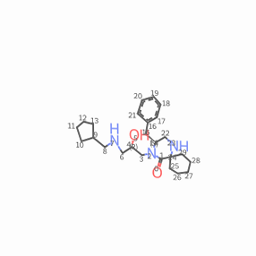 O=C1N(C[C@H](O)CNCC2CCCC2)[C@@H](Cc2ccccc2)CNC12CCCCC2